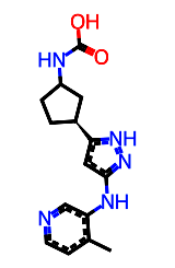 Cc1ccncc1Nc1cc([C@H]2CCC(NC(=O)O)C2)[nH]n1